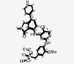 CCOP(=O)(Cc1ccc(Nc2ncc(C(F)(F)F)c(Nc3ccc(C4=CCNCC4)c4c3C(=O)N(C)C4)n2)c(OC)c1)OCC